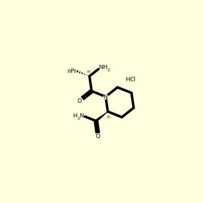 CCC[C@H](N)C(=O)N1CCCC[C@H]1C(N)=O.Cl